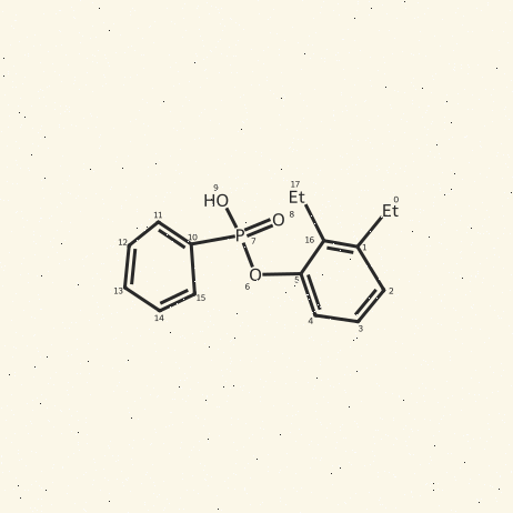 CCc1cccc(OP(=O)(O)c2ccccc2)c1CC